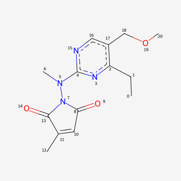 CCc1nc(N(C)N2C(=O)C=C(C)C2=O)ncc1COC